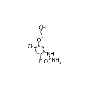 C#CCOc1cc(NC(N)=O)c(F)cc1Cl